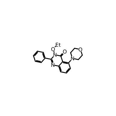 CCOn1c(-c2ccccc2)nc2cccc(N3CCOCC3)c2c1=O